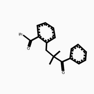 CC(C)C(=O)c1ccccc1CC(C)(C)C(=O)c1ccccc1